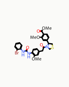 COC(=O)c1ccc(C2CSCN2C(=O)Cc2ccc(NC(=O)Nc3ccccc3Br)c(OC)c2)cc1OC